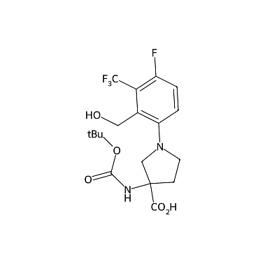 CC(C)(C)OC(=O)NC1(C(=O)O)CCN(c2ccc(F)c(C(F)(F)F)c2CO)C1